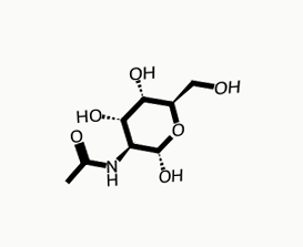 CC(=O)N[C@H]1[C@H](O)[C@H](O)[C@@H](CO)O[C@@H]1O